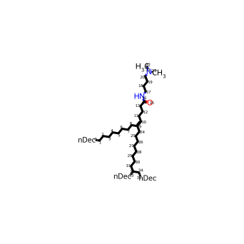 CCCCCCCCCCCCCCCCCC/C(=C\CCCC(=O)NCCCCN(C)C)CCCCCCCCC(CCCCCCCCCC)CCCCCCCCCCC